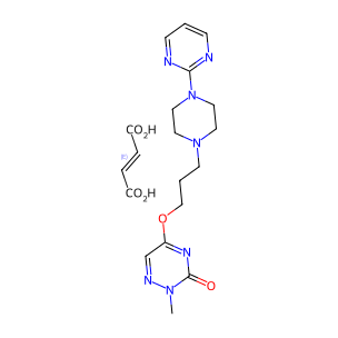 Cn1ncc(OCCCN2CCN(c3ncccn3)CC2)nc1=O.O=C(O)/C=C/C(=O)O